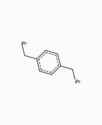 CC(C)Cc1ccc(CC(C)C)cc1